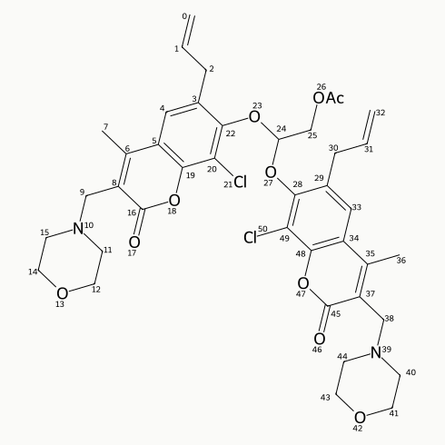 C=CCc1cc2c(C)c(CN3CCOCC3)c(=O)oc2c(Cl)c1OC(COC(C)=O)Oc1c(CC=C)cc2c(C)c(CN3CCOCC3)c(=O)oc2c1Cl